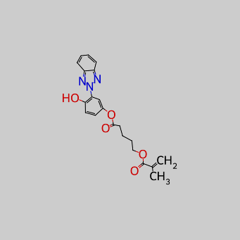 C=C(C)C(=O)OCCCCC(=O)Oc1ccc(O)c(-n2nc3ccccc3n2)c1